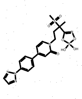 CC(CCn1ccc(-c2ccc(-n3nccn3)cc2)cc1=O)(C1=NO[B-](O)(O)O1)S(C)(=O)=O